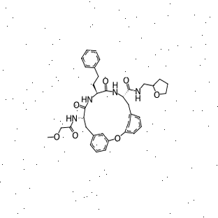 COCC(=O)N[C@H]1Cc2cccc(c2)Oc2cccc(c2)C[C@@H](C(=O)NCC2CCCO2)NC(=O)[C@H](CCc2ccccc2)NC1=O